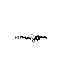 CCCCc1ccc(C(=O)NCCCCCCO)cc1